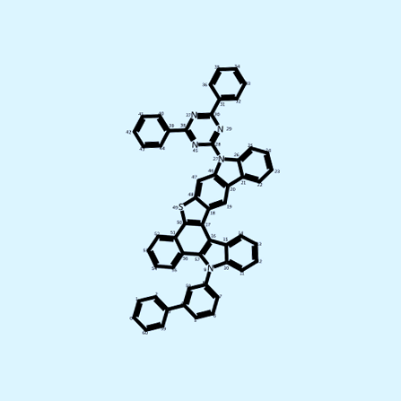 c1ccc(-c2cccc(-n3c4ccccc4c4c5c6cc7c8ccccc8n(-c8nc(-c9ccccc9)nc(-c9ccccc9)n8)c7cc6sc5c5ccccc5c43)c2)cc1